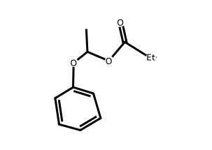 C[CH]C(=O)OC(C)Oc1ccccc1